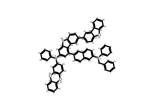 c1ccc(CN(c2ccccc2)c2ccc3cc(-c4cc(N(c5ccccc5)c5ccc6c(c5)Oc5ccccc5O6)cc5sc6ccc(-c7ccc8oc9ccccc9c8c7)cc6c45)ccc3c2)cc1